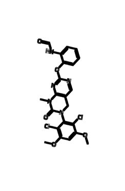 COc1cc(OC)c(Cl)c(N2Cc3cnc(Oc4ccccc4NC=O)nc3N(C)C2=O)c1Cl